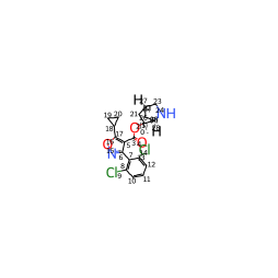 C[C@]1(OC(=O)c2c(-c3c(Cl)cccc3Cl)noc2C2CC2)C[C@H]2CN[C@@H]1C2